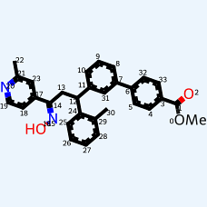 COC(=O)c1ccc(-c2cccc(C(C/C(=N/O)c3ccnc(C)c3)c3ccccc3C)c2)cc1